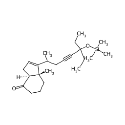 CCC(C#CCC(C)C1=CC[C@@H]2C(=O)CCC[C@@]12C)(CC)O[Si](C)(C)C